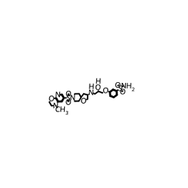 CN1CCOc2ncc(S(=O)(=O)N3CCC4(CC3)C[C@@H](NC[C@H](O)COc3cccc(S(N)(=O)=O)c3)CO4)cc21